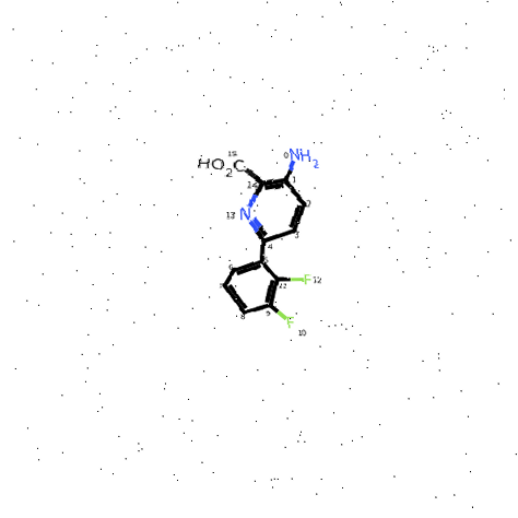 Nc1ccc(-c2cccc(F)c2F)nc1C(=O)O